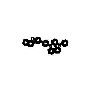 c1ccc(N(c2ccc(-c3ccc4oc5c6ccccc6ccc5c4c3)cc2)c2cccc3c2c2ccccc2n3-c2ccccc2)cc1